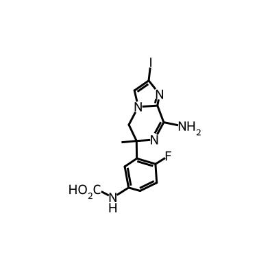 CC1(c2cc(NC(=O)O)ccc2F)Cn2cc(I)nc2C(N)=N1